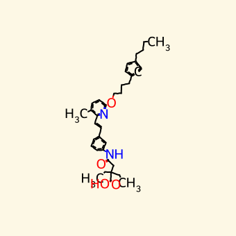 CCCCc1ccc(CCCCOc2ccc(C)c(C=Cc3cccc(NC(=O)CC(CC)(CC)C(=O)O)c3)n2)cc1